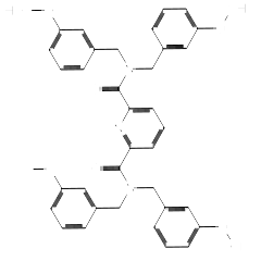 COc1cccc(CN(Cc2cccc(OC)c2)C(=O)c2cccc(C(=O)N(Cc3cccc(OC)c3)Cc3cccc(OC)c3)n2)c1